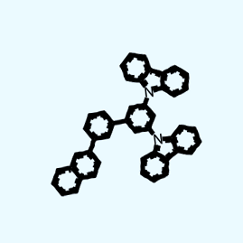 c1cc(-c2cc(-n3c4ccccc4c4ccccc43)cc(-n3c4ccccc4c4ccccc43)c2)cc(-c2ccc3ccccc3c2)c1